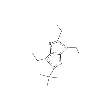 CCc1sc2c(CC)c(C(C)(C)C)sc2c1CC